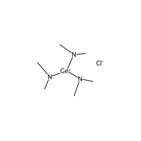 C[N](C)[Ge+]([N](C)C)[N](C)C.[Cl-]